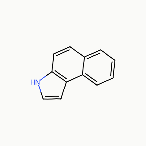 c1ccc2c(c1)ccc1[nH]ccc12